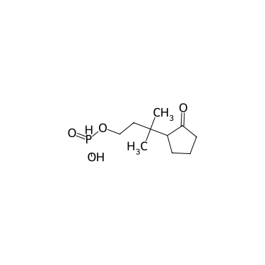 CC(C)(CCO[PH](=O)O)C1CCCC1=O